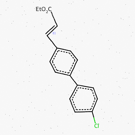 CCOC(=O)/C=C/c1ccc(-c2ccc(Cl)cc2)cc1